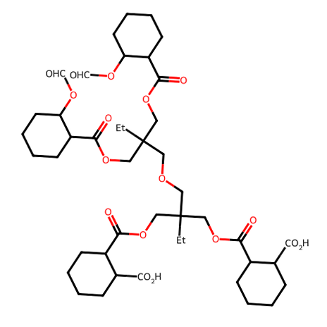 CCC(COCC(CC)(COC(=O)C1CCCCC1C(=O)O)COC(=O)C1CCCCC1C(=O)O)(COC(=O)C1CCCCC1OC=O)COC(=O)C1CCCCC1OC=O